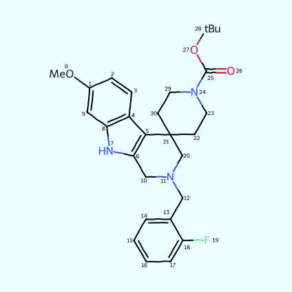 COc1ccc2c3c([nH]c2c1)CN(Cc1ccccc1F)CC31CCN(C(=O)OC(C)(C)C)CC1